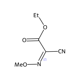 CCOC(=O)/C(C#N)=N\OC